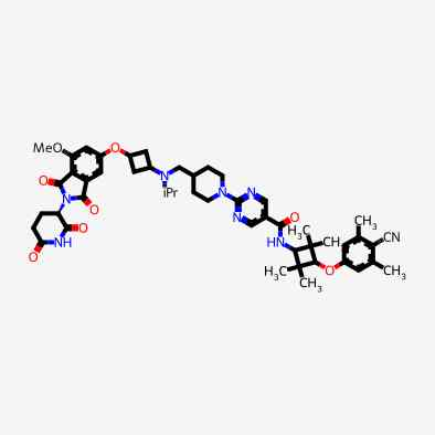 COc1cc(OC2CC(N(CC3CCN(c4ncc(C(=O)NC5C(C)(C)C(Oc6cc(C)c(C#N)c(C)c6)C5(C)C)cn4)CC3)C(C)C)C2)cc2c1C(=O)N([C@@H]1CCC(=O)NC1=O)C2=O